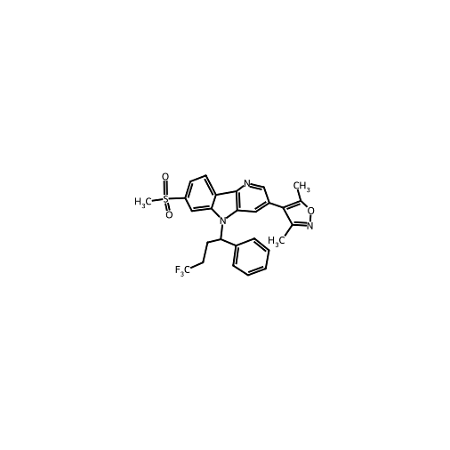 Cc1noc(C)c1-c1cnc2c3ccc(S(C)(=O)=O)cc3n(C(CCC(F)(F)F)c3ccccc3)c2c1